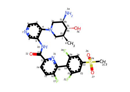 C[C@H]1CN(c2ccncc2NC(=O)c2ccc(F)c(-c3c(F)cc(S(C)(=O)=O)cc3F)n2)C[C@@H](N)[C@@H]1O